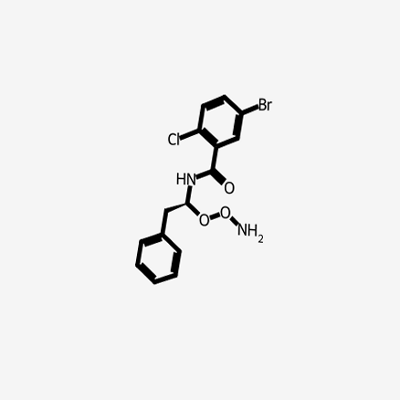 NOO[C@@H](Cc1ccccc1)NC(=O)c1cc(Br)ccc1Cl